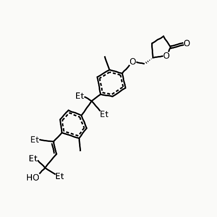 CCC(=CC(O)(CC)CC)c1ccc(C(CC)(CC)c2ccc(OC[C@@H]3CCC(=O)O3)c(C)c2)cc1C